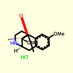 COc1ccc2c(c1)[C@]13CCN[C@H](C2)[C@]1(OC)[C@@H](C)CC(=O)C3.Cl